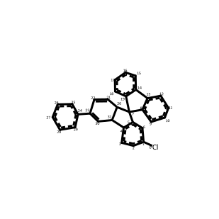 Clc1ccc2c(c1)C1(c3ccccc3-c3ccccc31)C1C=CC(c3ccccc3)=CC21